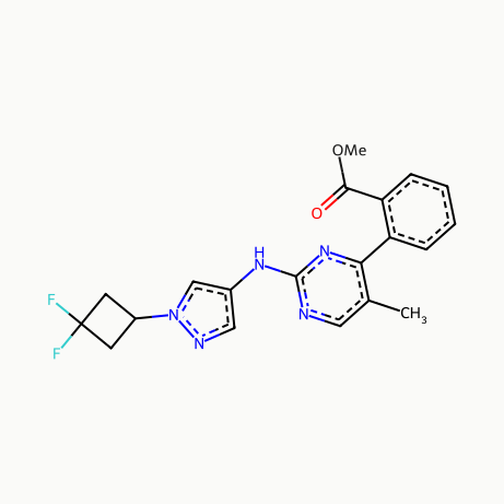 COC(=O)c1ccccc1-c1nc(Nc2cnn(C3CC(F)(F)C3)c2)ncc1C